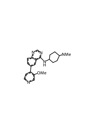 CNC1CCC(Nc2ncnc3ccc(-c4ccncc4OC)cc23)CC1